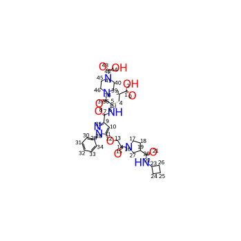 O=C(O)CC[C@H](NC(=O)c1cc(OCC(=O)N2CCC(C(=O)NC3CCC3)C2)n(-c2ccccc2)n1)C(=O)N1CCN(C(=O)O)CC1